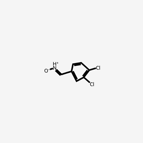 [O-][NH+]=Cc1ccc(Cl)c(Cl)c1